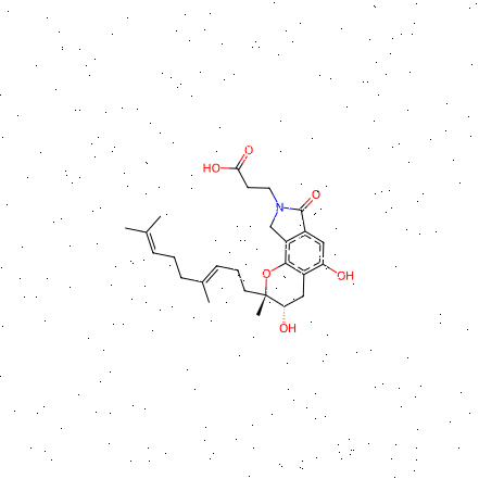 CC(C)=CCC/C(C)=C/CC[C@]1(C)Oc2c(c(O)cc3c2CN(CCC(=O)O)C3=O)C[C@@H]1O